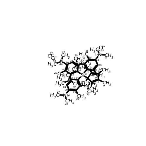 CC1=C(C)[C]([Ti+3])([Si](c2c(C)cc(N(C)C)c(C)c2N(C)C)(c2c(C)cc(N(C)C)c(C)c2N(C)C)c2c(C)cc(N(C)C)c(C)c2N(C)C)C(C)=C1C.[Cl-].[Cl-].[Cl-]